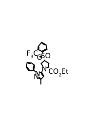 CCOC(=O)[C@@H]1C[C@@H](S(=O)(=O)c2ccccc2C(F)(F)F)CN1c1cc(C)nn1-c1ccccc1